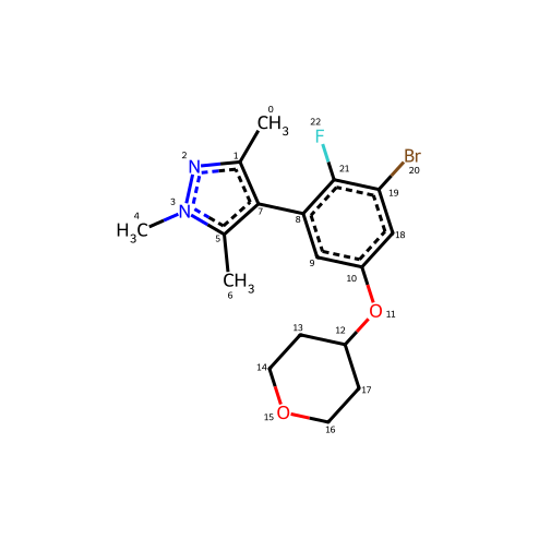 Cc1nn(C)c(C)c1-c1cc(OC2CCOCC2)cc(Br)c1F